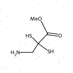 COC(=O)C(S)(S)CN